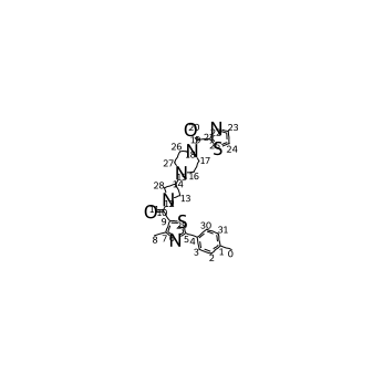 Cc1ccc(-c2nc(C)c(C(=O)N3CC(N4CCN(C(=O)c5nccs5)CC4)C3)s2)cc1